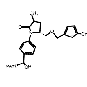 CCCCC[C@H](O)c1ccc(N2C(=O)C(C)C[C@@H]2COCc2ccc(C=O)s2)cc1